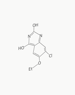 CCOc1cc2c(O)nc(O)nc2cc1Cl